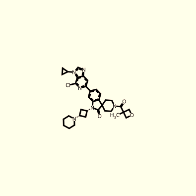 CC1(C(=O)N2CCC3(CC2)C(=O)N([C@H]2C[C@@H](N4CCCCC4)C2)c2cc(-c4cc5ncn(C6CC6)c5c(Cl)n4)ccc23)COC1